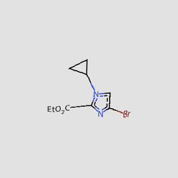 CCOC(=O)c1nc(Br)cn1C1CC1